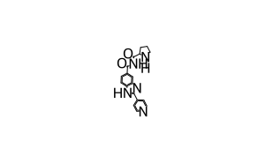 O=C(NC(=O)C1CCCN1)c1ccc2[nH]c(-c3ccncc3)nc2c1